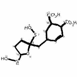 O=C(O)C1C=CC(CC2(SO)CCC(SO)O2)CC1C(=O)O